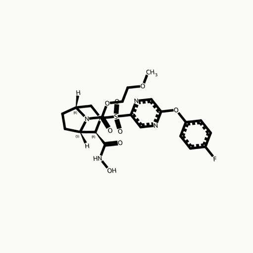 COCCOC(=O)N1[C@@H]2CC[C@H]1[C@H](C(=O)NO)N(S(=O)(=O)c1cnc(Oc3ccc(F)cc3)cn1)C2